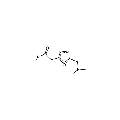 CN(C)Cc1cnc([CH]C(N)=O)o1